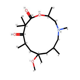 COC1(C)CC(C)CN(C)CC(C)OC(=O)C(C)(C)C(=O)C(C)C1